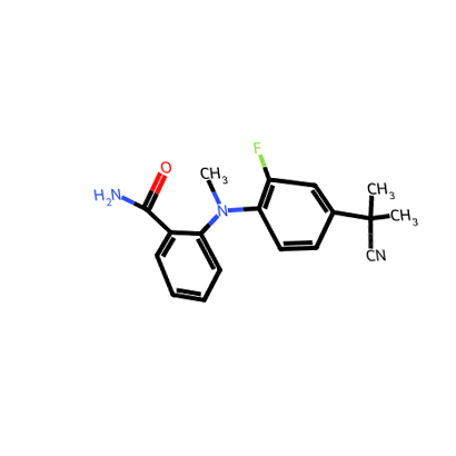 CN(c1ccc(C(C)(C)C#N)cc1F)c1ccccc1C(N)=O